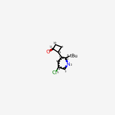 CC(C)(C)c1ncc(Cl)cc1C1CCC1=O